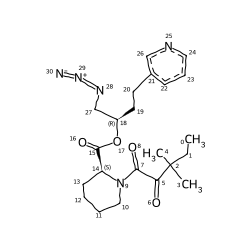 CCC(C)(C)C(=O)C(=O)N1CCCC[C@H]1C(=O)O[C@H](CCc1cccnc1)CN=[N+]=[N-]